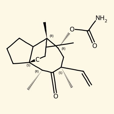 C=C[C@]1(C)C[C@@H](OC(N)=O)[C@]2(C)C(C)CC[C@]3(CCCC32)[C@@H](C)C1=O